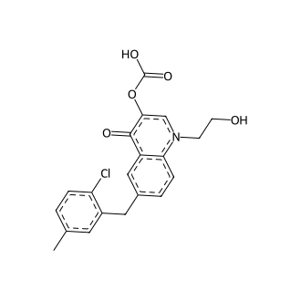 Cc1ccc(Cl)c(Cc2ccc3c(c2)c(=O)c(OC(=O)O)cn3CCO)c1